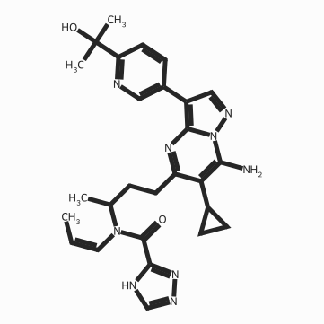 C/C=C\N(C(=O)c1nnc[nH]1)C(C)CCc1nc2c(-c3ccc(C(C)(C)O)nc3)cnn2c(N)c1C1CC1